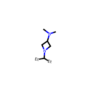 CCC(CC)N1CC(N(C)C)C1